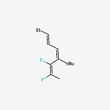 CC/C=C/C=C(CCCC)\C(F)=C(/C)F